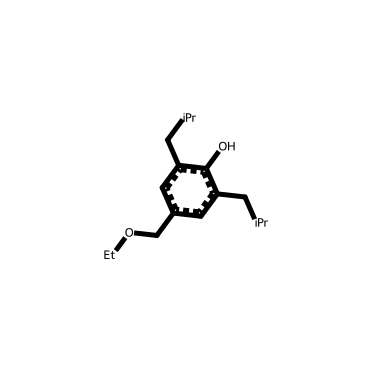 CCOCc1cc(CC(C)C)c(O)c(CC(C)C)c1